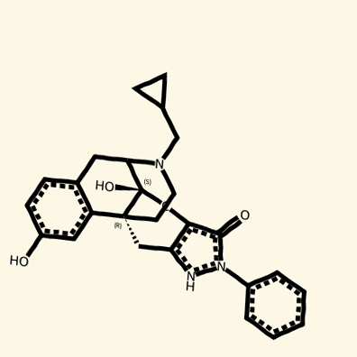 O=c1c2c([nH]n1-c1ccccc1)C[C@]13CCN(CC4CC4)C(Cc4ccc(O)cc41)[C@]3(O)C2